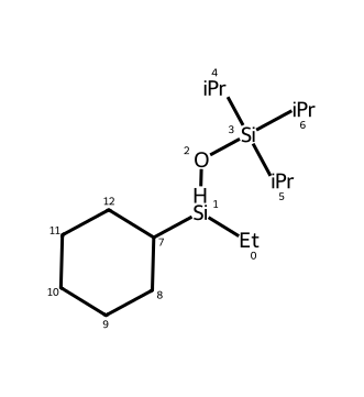 CC[SiH](O[Si](C(C)C)(C(C)C)C(C)C)C1CCCCC1